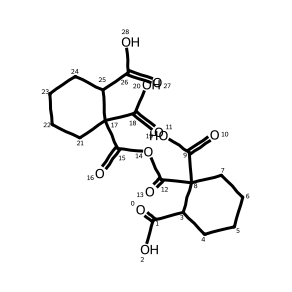 O=C(O)C1CCCCC1(C(=O)O)C(=O)OC(=O)C1(C(=O)O)CCCCC1C(=O)O